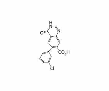 O=C(O)c1cc2nc[nH]c(=O)c2cc1-c1cccc(Cl)c1